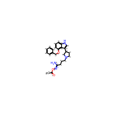 CC(C)C(=O)O/N=C(\N)CCCN1CCC(c2c[nH]c3cccc(OCc4ccccc4)c23)C1